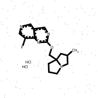 CC1CN2CCCC2(COc2ncc3cncc(F)c3n2)C1.Cl.Cl